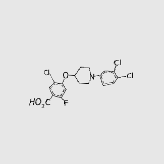 O=C(O)c1cc(Cl)c(OC2CCN(c3ccc(Cl)c(Cl)c3)CC2)cc1F